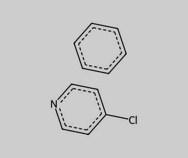 Clc1ccncc1.c1ccccc1